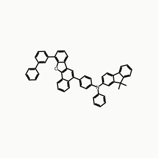 CC1(C)c2ccccc2-c2ccc(N(c3ccccc3)c3ccc(-c4cc5c6cccc(-c7cccc(-c8ccccc8)c7)c6oc5c5ccccc45)cc3)cc21